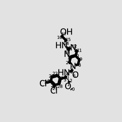 COC[C@@H](NC(=O)N1CCc2cnc(NCCO)nc2C1)c1ccc(Cl)c(Cl)c1